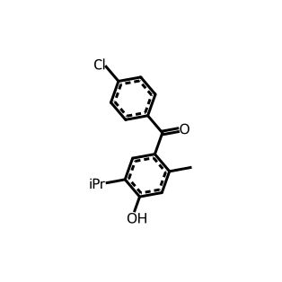 Cc1cc(O)c(C(C)C)cc1C(=O)c1ccc(Cl)cc1